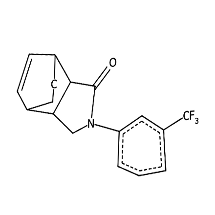 O=C1C2C3C=CC(CC3)C2CN1c1cccc(C(F)(F)F)c1